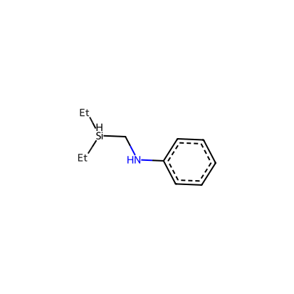 CC[SiH](CC)CNc1ccccc1